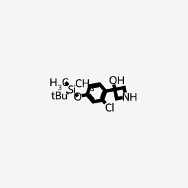 CC(C)(C)[Si](C)(C)Oc1ccc(C2(O)CNC2)c(Cl)c1